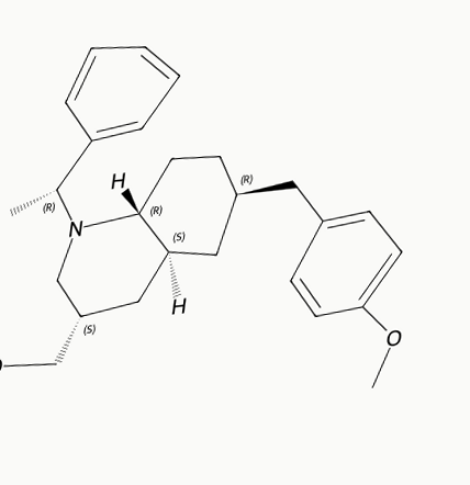 COc1ccc(C[C@@H]2CC[C@@H]3[C@@H](C2)C[C@H](CO)CN3[C@H](C)c2ccccc2)cc1